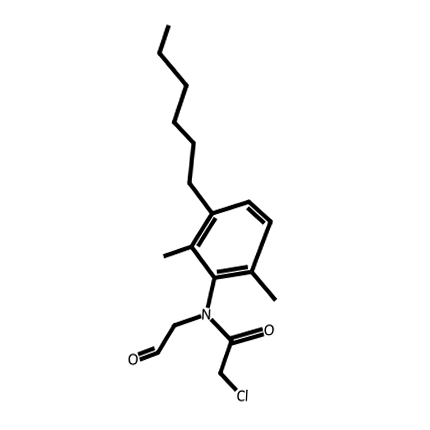 CCCCCCc1ccc(C)c(N(CC=O)C(=O)CCl)c1C